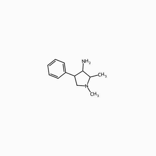 CC1C(N)C(c2ccccc2)CN1C